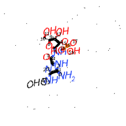 Nc1[nH]c(C(=O)NC2O[C@H](CO)[C@@H](O)[C@H]2OP(=O)(O)O)nc1NC=O